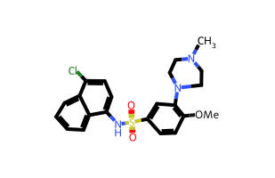 COc1ccc(S(=O)(=O)Nc2ccc(Cl)c3ccccc23)cc1N1CCN(C)CC1